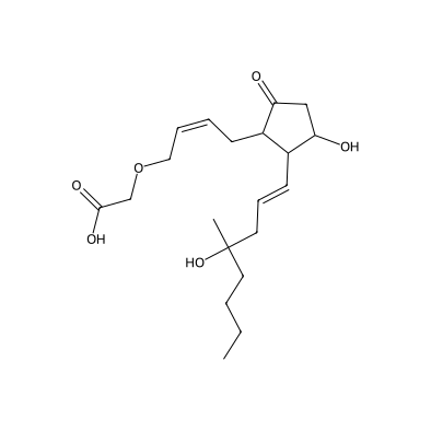 CCCCC(C)(O)C/C=C/C1C(O)CC(=O)C1C/C=C\COCC(=O)O